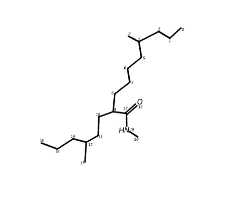 CCCC(C)CCCCC(CCC(C)CCC)C(=O)NC